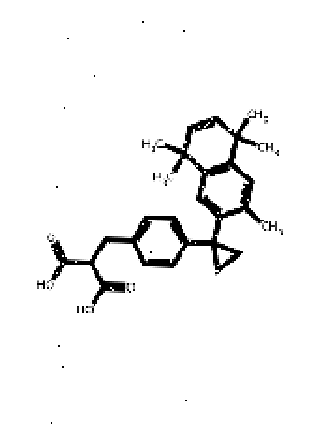 Cc1cc2c(cc1C1(c3ccc(CC(C(=O)O)C(=O)O)cc3)CC1)C(C)(C)C=CC2(C)C